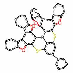 c1ccc(-c2cc3c4c(c2)Sc2c(c5oc6ccccc6c5c5c2oc2ccccc25)B4c2c(c4oc5ccccc5c4c4c2oc2ccccc24)S3)cc1